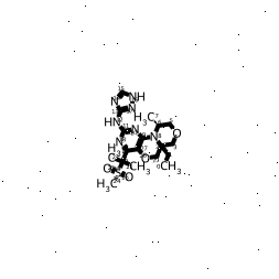 CCC12COC[C@@H](C)N1c1nc(Nc3nc[nH]n3)nc(C(C)(C)S(C)(=O)=O)c1OC2